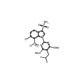 COc1nc(-n2cc(S(N)(=O)=O)c3ccc(Cl)c([S+](C)[O-])c32)nc(OC)c1CC(F)F